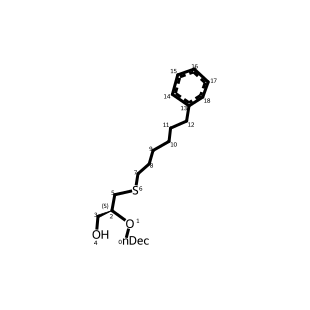 CCCCCCCCCCO[C@@H](CO)CSCCCCCCc1ccccc1